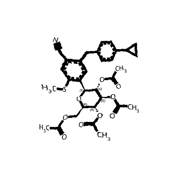 CSc1cc(C#N)c(Cc2ccc(C3CC3)cc2)cc1[C@@H]1O[C@H](COC(C)=O)[C@@H](OC(C)=O)[C@H](OC(C)=O)[C@H]1OC(C)=O